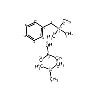 CN(C)C.C[N+](C)(C)Cc1ccccc1.[O-]B(O)O